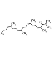 CC(=O)CCC=C(C)CCC=C(C)CCC=C(C)CCC=C(C)C(=O)N(C)C